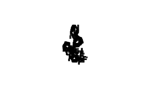 O=C(N[C@@H](c1cccc(-c2cnccn2)c1)[C@@H]1CCCCN1)c1nccc(C(F)(F)F)c1Cl